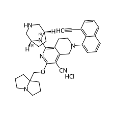 C#Cc1cccc2cccc(N3CCc4c(N5[C@@H]6CC[C@H]5CNC6)nc(OCC56CCCN5CCC6)c(C#N)c4C3)c12.Cl